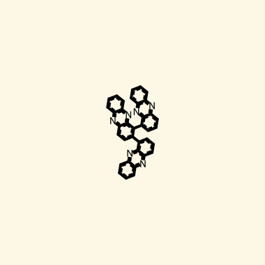 c1ccc2nc3c(-c4ccc5nc6ccccc6nc5c4-c4cccc5nc6ccccc6nc45)cccc3nc2c1